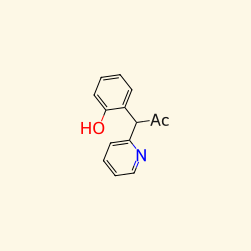 CC(=O)C(c1ccccn1)c1ccccc1O